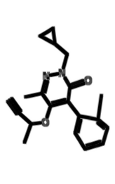 C#CC(C)Oc1c(C)nn(CC2CC2)c(=O)c1-c1ccccc1C